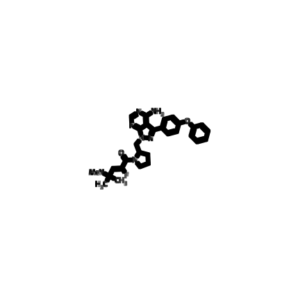 CNC(C)(C)C=C(F)C(=O)N1CCCC1Cn1nc(-c2ccc(Oc3ccccc3)cc2)c2c(N)ncnc21